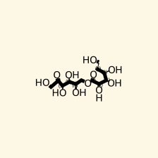 O=C(CO)[C@@H](O)[C@H](O)[C@H](O)CO[C@H]1O[C@H](CO)[C@H](O)[C@H](O)[C@H]1O